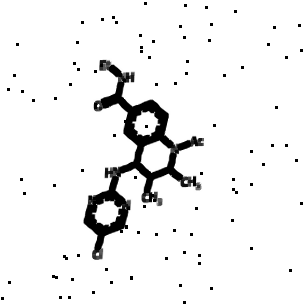 CCNC(=O)c1ccc2c(c1)C(Nc1ncc(Cl)cn1)C(C)C(C)N2C(C)=O